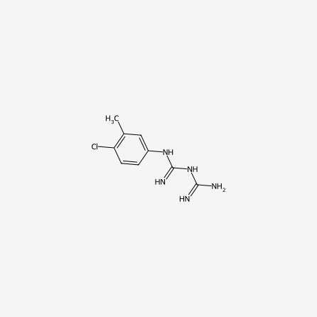 Cc1cc(NC(=N)NC(=N)N)ccc1Cl